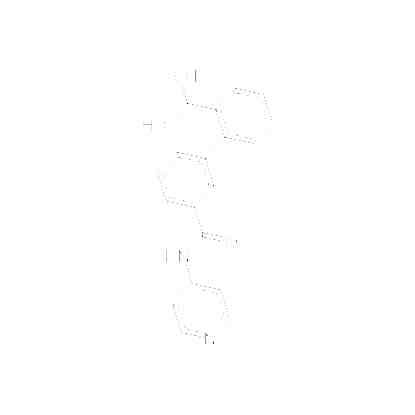 CC(C)c1ccccc1-c1cccc(C(=O)Nc2ccncc2)c1